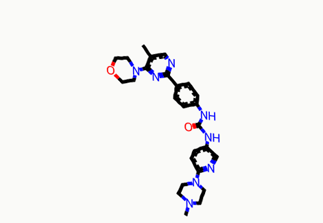 Cc1cnc(-c2ccc(NC(=O)Nc3ccc(N4CCN(C)CC4)nc3)cc2)nc1N1CCOCC1